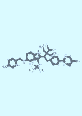 CCC(CC)(C(=O)O)C(Cc1ccc(-c2ncc(F)cn2)cc1)c1[nH]c2ccc(OCc3ccc(C)cn3)cc2c1SC(C)(C)C